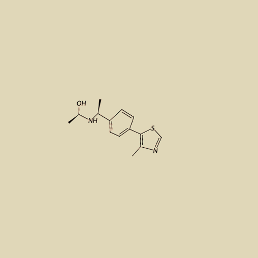 Cc1ncsc1-c1ccc([C@H](C)N[C@@H](C)O)cc1